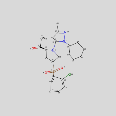 COC(=O)[C@@H]1C[C@@H](S(=O)(=O)c2ccccc2Cl)CN1c1cc(C)nn1C1CCCCC1